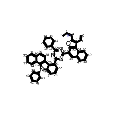 C=Cc1c(/C=C\C)oc2c(-c3nc(-c4ccccc4)nc(-c4cccc5c4c4ccc6ccccc6c4n5-c4ccccc4)n3)cc3ccccc3c12